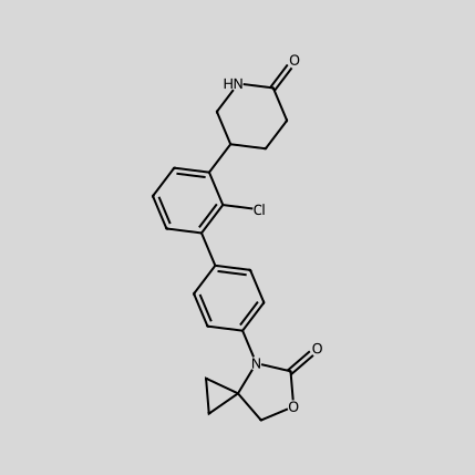 O=C1CCC(c2cccc(-c3ccc(N4C(=O)OCC45CC5)cc3)c2Cl)CN1